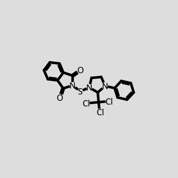 O=C1c2ccccc2C(=O)N1SN1CCN(c2ccccc2)C1C(Cl)(Cl)Cl